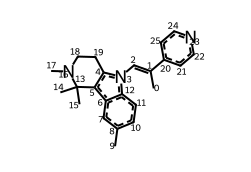 C/C(=C\n1c2c(c3cc(C)ccc31)C(C)(C)N(C)CC2)c1ccncc1